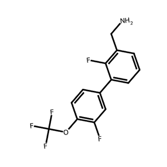 NCc1cccc(-c2ccc(OC(F)(F)F)c(F)c2)c1F